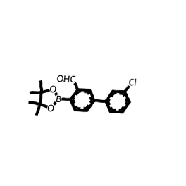 CC1(C)OB(c2ccc(-c3cccc(Cl)c3)cc2C=O)OC1(C)C